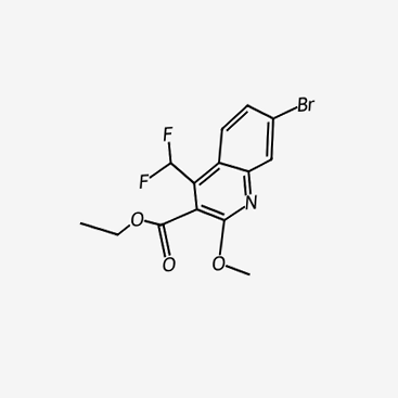 CCOC(=O)c1c(OC)nc2cc(Br)ccc2c1C(F)F